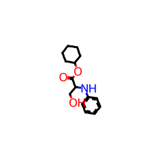 O=C(OC1CCCCC1)C(CO)Nc1ccccc1